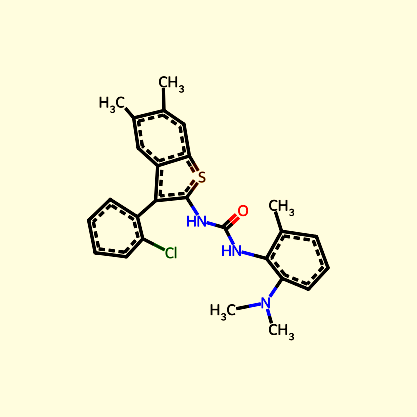 Cc1cc2sc(NC(=O)Nc3c(C)cccc3N(C)C)c(-c3ccccc3Cl)c2cc1C